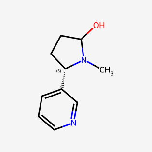 CN1C(O)CC[C@H]1c1cccnc1